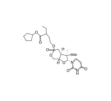 C#C[C@]1(C)[C@@H]2CP(=O)(OCCC(CC)C(=O)OC3CCCC3)OC[C@H]2O[C@H]1n1ccc(=O)[nH]c1=O